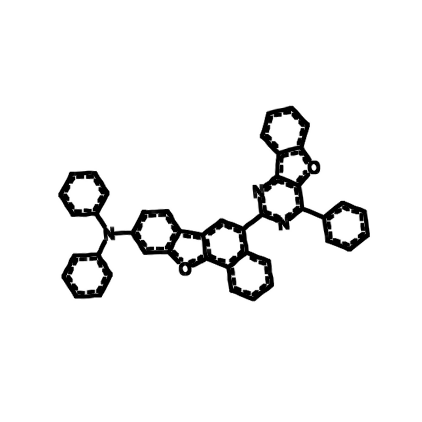 c1ccc(-c2nc(-c3cc4c5ccc(N(c6ccccc6)c6ccccc6)cc5oc4c4ccccc34)nc3c2oc2ccccc23)cc1